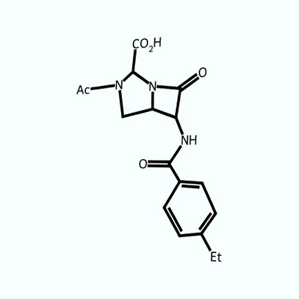 CCc1ccc(C(=O)NC2C(=O)N3C2CN(C(C)=O)C3C(=O)O)cc1